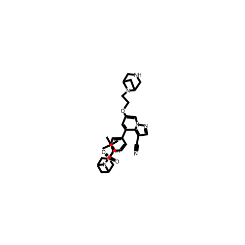 CC(C)(C)NS(=O)(=O)N1C2CC1CN(c1ccc(-c3cc(OCCN4C5CNCC4C5)cn4ncc(C#N)c34)cn1)C2